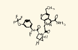 CCc1cc2c(C(N)=O)nn(CC(=O)N3[C@@H]4C[C@@H]4C[C@H]3C(=O)N(F)c3cccc(OC(F)(F)F)c3)c2cn1